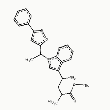 CC(c1cc(-c2ccccc2)no1)n1cc(C(N)CC(C(=O)O)C(=O)OC(C)(C)C)c2ccccc21